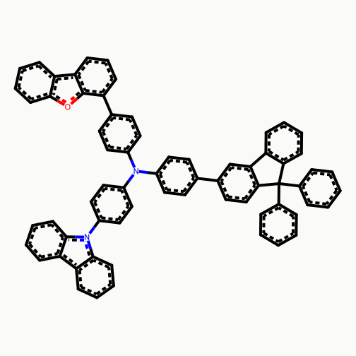 c1ccc(C2(c3ccccc3)c3ccccc3-c3cc(-c4ccc(N(c5ccc(-c6cccc7c6oc6ccccc67)cc5)c5ccc(-n6c7ccccc7c7ccccc76)cc5)cc4)ccc32)cc1